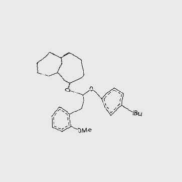 CCC(C)c1ccc(OC(Cc2ccccc2OC)OC2CCCC3CCCCC32)cc1